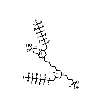 O=S(=O)(O)CCCN(CCCCCCN(CCCS(=O)(=O)O)CC(O)CC(F)(F)C(F)(F)C(F)(F)C(F)(F)C(F)(F)C(F)(F)F)CC(O)CC(F)(F)C(F)(F)C(F)(F)C(F)(F)C(F)(F)C(F)(F)F